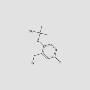 CC(C)(C)[Si](C)(C)Oc1ccc(F)cc1CBr